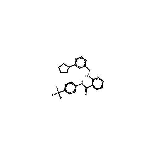 O=C(Nc1ccc(C(F)(F)F)cc1)c1cccnc1NCc1ccnc(N2CCCC2)c1